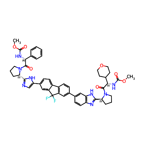 COC(=O)N[C@H](C(=O)N1CCC[C@H]1c1nc2ccc(-c3ccc4c(c3)C(F)(F)c3cc(-c5cnc([C@@H]6CCCN6C(=O)[C@H](NC(=O)OC)c6ccccc6)[nH]5)ccc3-4)cc2[nH]1)C1CCOCC1